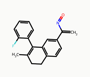 C=C(N=O)c1ccc2c(c1)C(c1ccccc1F)=C(C)CC2